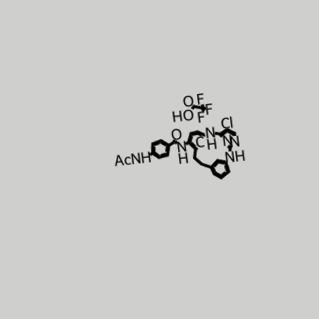 CC(=O)Nc1ccc(C(=O)Nc2ccc3cc2CCc2cccc(c2)Nc2ncc(Cl)c(n2)N3)cc1.O=C(O)C(F)(F)F